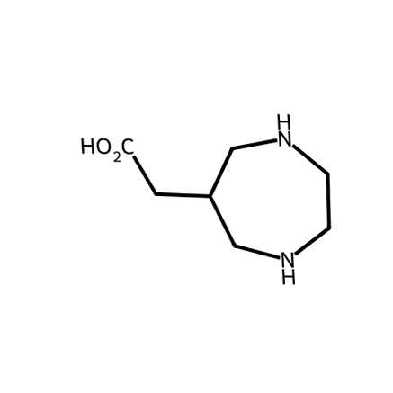 O=C(O)CC1CNCCNC1